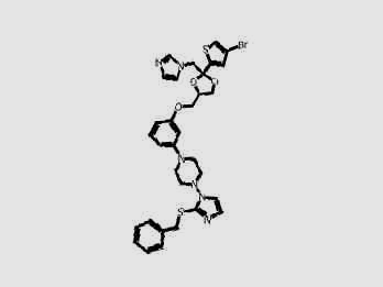 Brc1csc(C2(Cn3ccnc3)OCC(COc3cccc(N4CCN(n5ccnc5SCc5ccccc5)CC4)c3)O2)c1